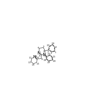 c1ccc(C2CCN=C(CC3=NCCCC3)N2c2ccccc2)cc1